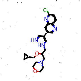 N=C/C(=C\NCC(CN1CCOCC1)OCC1CC1)c1cnc2ccc(Cl)nc2c1